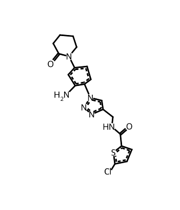 Nc1cc(N2CCCCC2=O)ccc1-n1cc(CNC(=O)c2ccc(Cl)s2)nn1